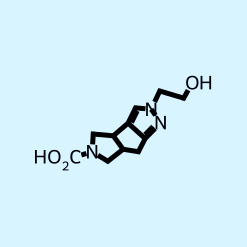 O=C(O)N1CC2Cc3nn(CCO)cc3C2C1